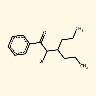 CCCC(CCC)C(Br)C(=O)c1ccccc1